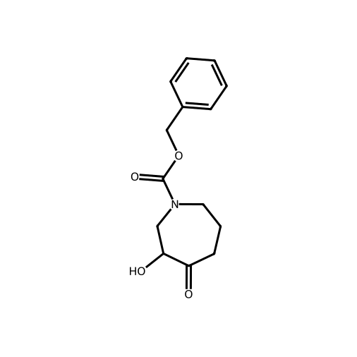 O=C1CCCN(C(=O)OCc2ccccc2)CC1O